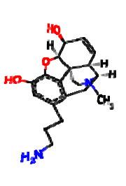 CN1CC[C@]23c4c5c(CCCN)cc(O)c4O[C@H]2[C@@H](O)C=C[C@H]3[C@H]1C5